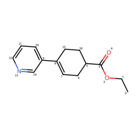 CCOC(=O)C1CC=C(c2cccnc2)CC1